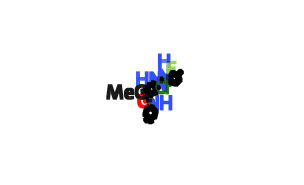 COc1cc2[nH]c(Nc3c(Cl)ccc(C)c3F)nc2cc1C(=O)NC1CCC(C)(C)CC1